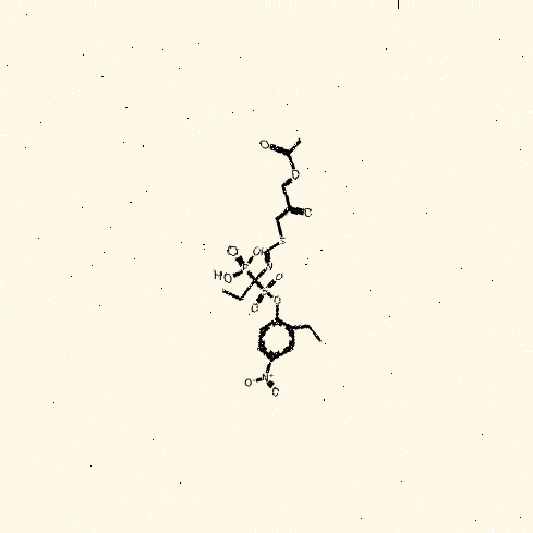 CCc1cc([N+](=O)[O-])ccc1OS(=O)(=O)C(CC)(N=CSCC(=O)COC(C)=O)P(=O)(O)O